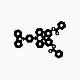 O=C(Oc1ccc(C2(c3ccc(OC(=O)c4ccccc4)cc3)c3ccccc3N(c3ccc(-n4c5ccccc5c5ccccc54)cc3)c3ccccc32)cc1)c1ccccc1